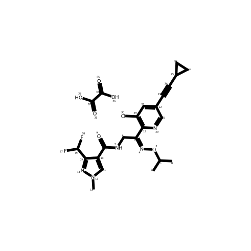 CC(C)O/N=C(/CNC(=O)c1cn(C)nc1C(F)F)c1ncc(C#CC2CC2)cc1Cl.O=C(O)C(=O)O